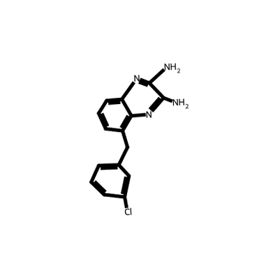 Nc1nc2cccc(Cc3cccc(Cl)c3)c2nc1N